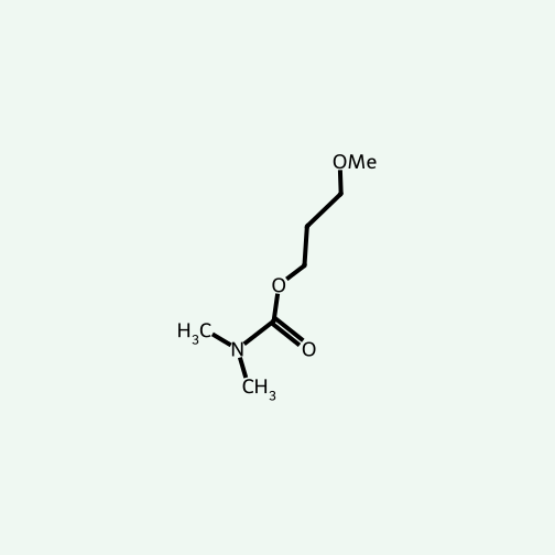 COCCCOC(=O)N(C)C